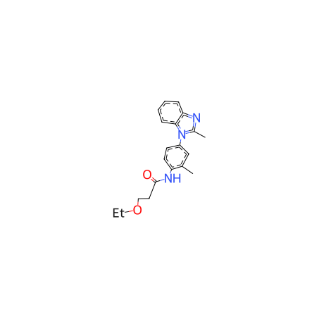 CCOCCC(=O)Nc1ccc(-n2c(C)nc3ccccc32)cc1C